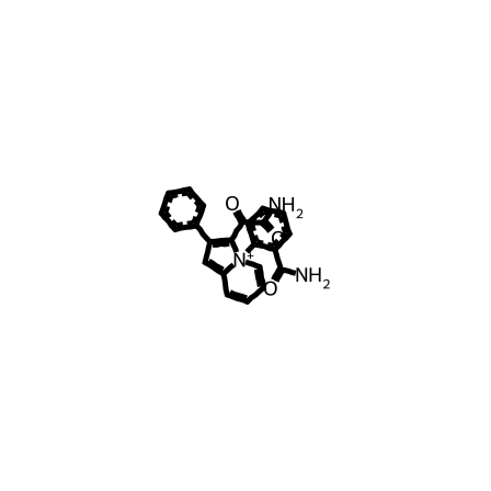 NC(=O)C(=O)C1=C(c2ccccc2)C=C2C=CC=C[N+]21c1ccccc1C(N)=O